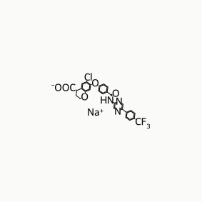 O=C(Nc1cnc(-c2ccc(C(F)(F)F)cc2)cn1)c1ccc(Oc2cc3c(cc2Cl)C(C(=O)[O-])CCO3)cc1.[Na+]